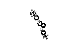 O=S(=O)(N1CCC(N2CCc3c(cccc3Oc3ccc(C(F)(F)F)cc3)C2)CC1)C(F)(F)F